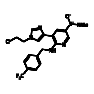 CN[S+]([O-])c1cnc(NCc2ccc(C(F)(F)F)cc2)c(-c2cn(CCCl)cn2)c1